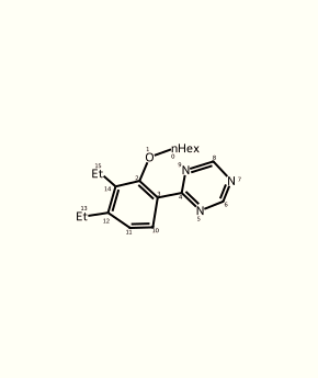 CCCCCCOc1c(-c2ncncn2)ccc(CC)c1CC